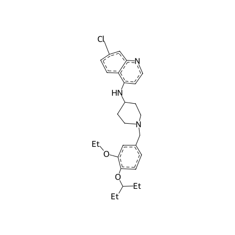 CCOc1cc(CN2CCC(Nc3ccnc4cc(Cl)ccc34)CC2)ccc1OC(CC)CC